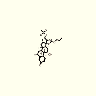 CCCOC(=O)O[C@]1(C(=O)COS(C)(=O)=O)[C@H](C)C[C@H]2[C@@H]3C[C@H](F)C4=CC(=O)C=C[C@]4(C)[C@@]3(F)[C@@H](O)C[C@@]21C